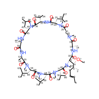 C/C=C/C[C@@H](C)[C@@H](OC)[C@H]1C(=O)N[C@@H](C)C(=O)N(C)CC(=O)N(C)[C@@H](CC(C)C)C(=O)N[C@@H](C(C)C)C(=O)N(C)[C@@H](CC(C)C)C(=O)N[C@@H](C)C(=O)N[C@H](C)C(=O)N(C)[C@@H](CC(C)C)C(=O)N(C)[C@@H](CC(C)C)C(=O)N(C)[C@@H](C(C)C)C(=O)N1C